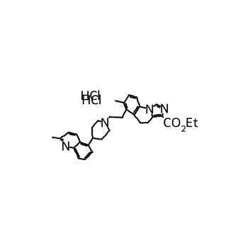 CCOC(=O)c1ncn2c1CCc1c-2ccc(C)c1CCN1CCC(c2cccc3nc(C)ccc23)CC1.Cl.Cl